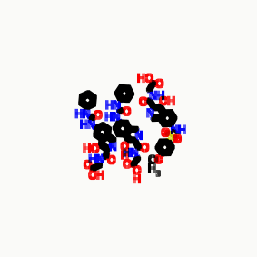 COc1ccc(S(=O)(=O)Nc2ccc3c(O)c(C(=O)NCC(=O)O)ncc3c2)cc1.O=C(O)CNC(=O)c1ncc2cc(NC(=O)Nc3ccccc3)ccc2c1O.O=C(O)CNC(=O)c1ncc2ccc(NC(=O)Nc3ccccc3)cc2c1O